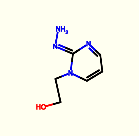 NN=c1ncccn1CCO